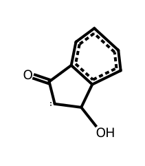 O=C1[C]C(O)c2ccccc21